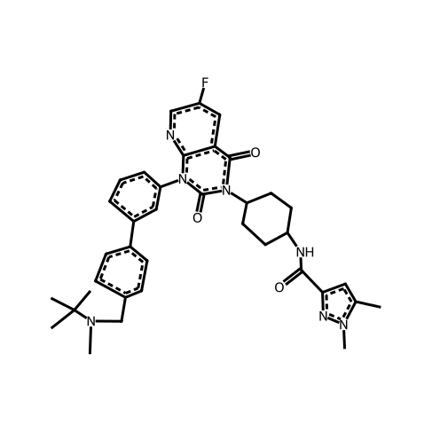 Cc1cc(C(=O)NC2CCC(n3c(=O)c4cc(F)cnc4n(-c4cccc(-c5ccc(CN(C)C(C)(C)C)cc5)c4)c3=O)CC2)nn1C